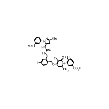 COc1cccc(-n2nc(C(C)(C)C)cc2NC(=O)NCc2cc(F)ccc2COc2cc(C)n(-c3cc(C(=O)O)ccc3C)c(=O)c2Cl)c1